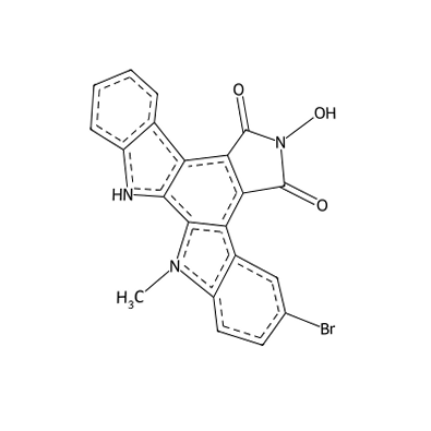 Cn1c2ccc(Br)cc2c2c3c(c4c5ccccc5[nH]c4c21)C(=O)N(O)C3=O